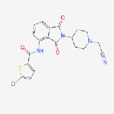 N#CCN1CCC(N2C(=O)c3cccc(NC(=O)c4ccc(Cl)s4)c3C2=O)CC1